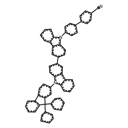 N#Cc1ccc(-c2ccc(-n3c4ccccc4c4cc(-c5ccc6c(c5)c5ccccc5n6-c5ccc6c(c5)C(c5ccccc5)(c5ccccc5)c5ccccc5-6)ccc43)cc2)cc1